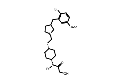 CCN(C(=O)CO)[C@H]1CC[C@H](CCN2CCC(Cc3cc(OC)ccc3Br)C2)CC1